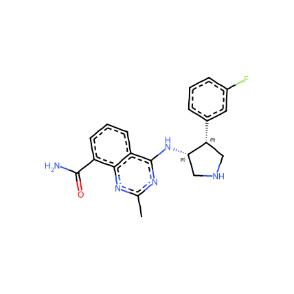 Cc1nc(N[C@H]2CNC[C@H]2c2cccc(F)c2)c2cccc(C(N)=O)c2n1